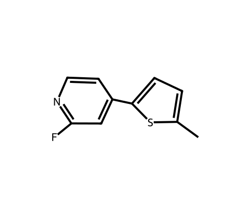 Cc1ccc(-c2ccnc(F)c2)s1